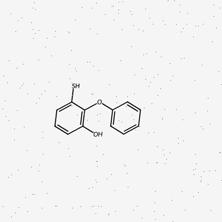 Oc1cccc(S)c1Oc1ccccc1